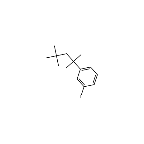 CC(C)(C)CC(C)(C)c1cccc(I)c1